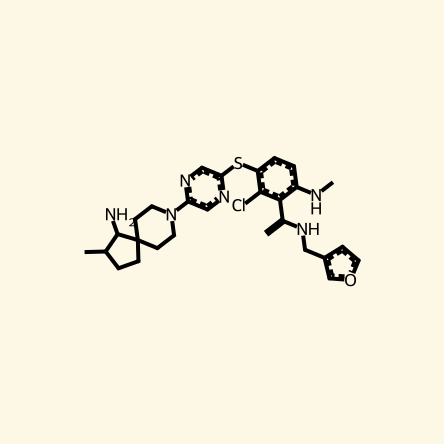 C=C(NCc1ccoc1)c1c(NC)ccc(Sc2cnc(N3CCC4(CCC(C)C4N)CC3)cn2)c1Cl